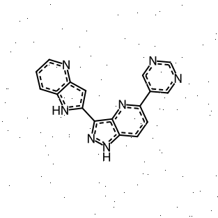 c1cnc2cc(-c3n[nH]c4ccc(-c5cncnc5)nc34)[nH]c2c1